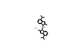 CC1=Cc2c(C(C)C)cccc2[CH]1[Zr+2][CH]1C(C)=Cc2c(C(C)C)cccc21.[F-].[F-]